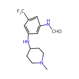 CN1CCC(Nc2cc(NC=O)cc(C(F)(F)F)c2)CC1